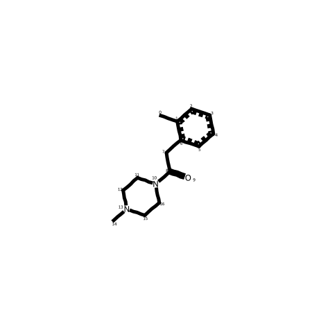 Cc1ccccc1CC(=O)N1CCN(C)CC1